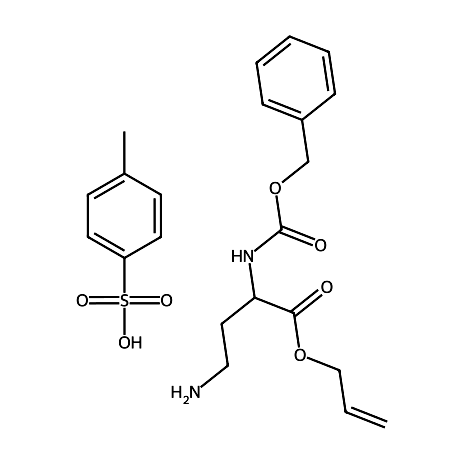 C=CCOC(=O)C(CCN)NC(=O)OCc1ccccc1.Cc1ccc(S(=O)(=O)O)cc1